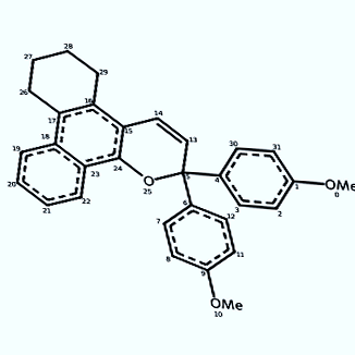 COc1ccc(C2(c3ccc(OC)cc3)C=Cc3c4c(c5ccccc5c3O2)CCCC4)cc1